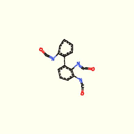 O=C=Nc1ccccc1-c1cccc(N=C=O)c1N=C=O